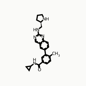 Cc1ccc(C(=O)NC2CC2)cc1-c1ccc2nc(NC[C@H]3CCCN3)ncc2c1